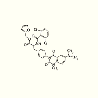 CN(C)c1ccc2c(c1)c(=O)n(-c1ccc(C[C@H](NC(=O)c3c(Cl)cccc3Cl)C(=O)OCc3ccco3)cc1)c(=O)n2C